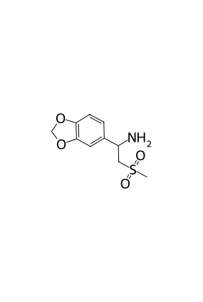 CS(=O)(=O)CC(N)c1ccc2c(c1)OCO2